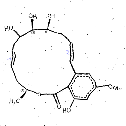 COc1cc(O)c2c(c1)/C=C/C[C@H](O)[C@H](O)C(O)/C=C\C[C@H](C)OC2=O